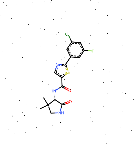 CC1(C)CNC(=O)[C@H]1NC(=O)c1cnc(-c2cc(F)cc(Cl)c2)s1